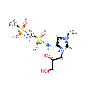 CCCCn1cc[n+](CC(O)CO)c1.NS(=O)(=O)C(F)(F)F.NS(=O)(=O)C(F)(F)F